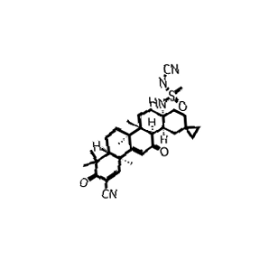 CC1(C)C(=O)C(C#N)=C[C@]2(C)C3=CC(=O)[C@@H]4[C@@H]5CC6(CC6)CC[C@]5(NS(C)(=O)=NC#N)CC[C@@]4(C)[C@]3(C)CC[C@@H]12